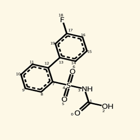 O=C(O)NS(=O)(=O)c1ccccc1-c1cccc(F)c1